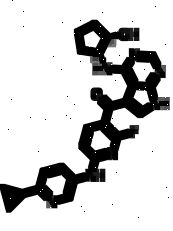 O=C(c1ccc(Nc2ccc(C3CC3)nc2)nc1F)c1c[nH]c2ncnc(N[C@@H]3CCC[C@H]3O)c12